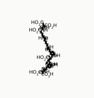 O=C(O)CCC(NC(=O)NC(CCCCNC(=O)CCCCCNC(=O)CCc1ccc(O)c(CN(CCN(CC(=O)O)Cc2cc(CCC(=O)NC(CC(=O)O)C(=O)O)ccc2O)CC(=O)O)c1)C(=O)O)C(=O)O